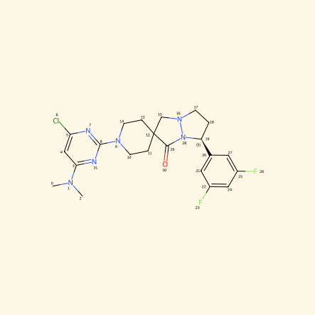 CN(C)c1cc(Cl)nc(N2CCC3(CC2)CN2CC[C@@H](c4cc(F)cc(F)c4)N2C3=O)n1